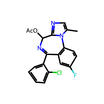 CC(=O)OC1N=C(c2ccccc2Cl)c2cc(F)ccc2-n2c(C)cnc21